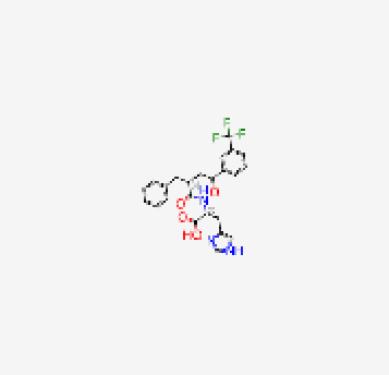 O=C(C[C@H](Cc1ccccc1)C(=O)N[C@@H](Cc1c[nH]cn1)C(=O)O)c1cccc(C(F)(F)F)c1